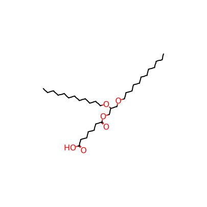 CCCCCCCCCCCCOCC(COC(=O)CCCCCC(=O)O)OCCCCCCCCCCCC